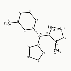 CC1CCCC([C@@H](C2CCCC2)C2NNCN2C)C1